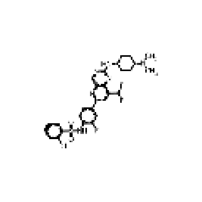 CN(C)[C@H]1CC[C@H](Nc2ncc3nc(-c4ccc(NS(=O)(=O)c5cc#ccc5Cl)c(F)c4)cc(C(F)F)c3n2)CC1